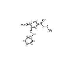 COc1ccc(C(=O)CCC(C)C)cc1OCc1ccccc1